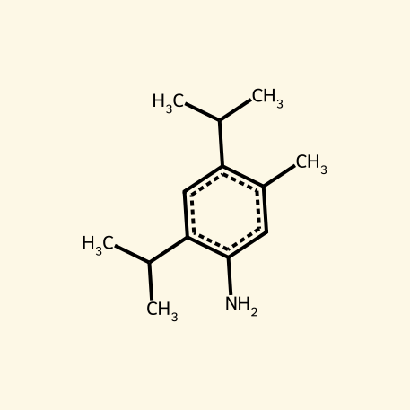 Cc1cc(N)c(C(C)C)cc1C(C)C